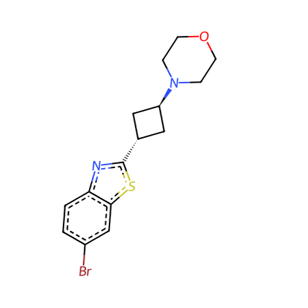 Brc1ccc2nc([C@H]3C[C@H](N4CCOCC4)C3)sc2c1